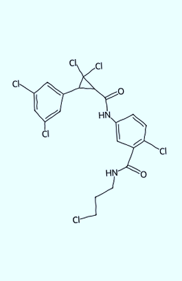 O=C(NCCCCl)c1cc(NC(=O)C2C(c3cc(Cl)cc(Cl)c3)C2(Cl)Cl)ccc1Cl